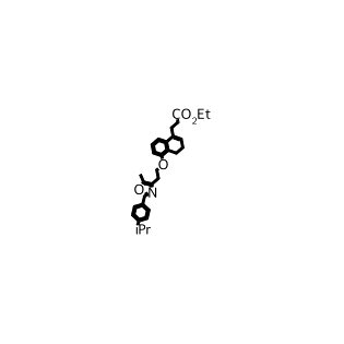 CCOC(=O)CCC1=CCCc2c(OCCc3nc(-c4ccc(C(C)C)cc4)oc3C)cccc21